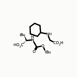 CC[C@H](C)[C@H](NC(=O)OC(C)(C)C)C(=O)O.O=C(O)CNC1CCCCC1